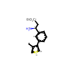 CCOC(=O)C[C@H](N)c1cccc(-c2cscc2C)c1